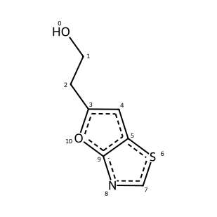 OCCc1cc2scnc2o1